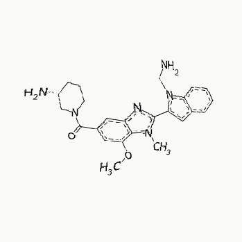 COc1cc(C(=O)N2CCC[C@@H](N)C2)cc2nc(-c3cc4ccccc4n3CN)n(C)c12